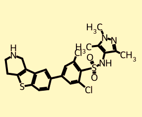 Cc1nn(C)c(C)c1NS(=O)(=O)c1c(Cl)cc(-c2ccc3sc4c(c3c2)CNCC4)cc1Cl